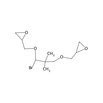 CC(C)(COCC1CO1)C(Br)OCC1CO1